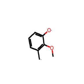 [CH2]c1cccc([O])c1OC